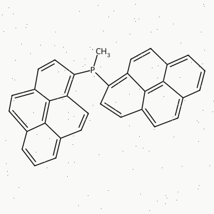 CP(c1ccc2ccc3cccc4ccc1c2c34)c1ccc2ccc3cccc4ccc1c2c34